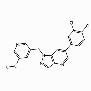 COc1cncc(Cn2ncc3ncc(-c4ccc(Cl)c(Cl)c4)cc32)c1